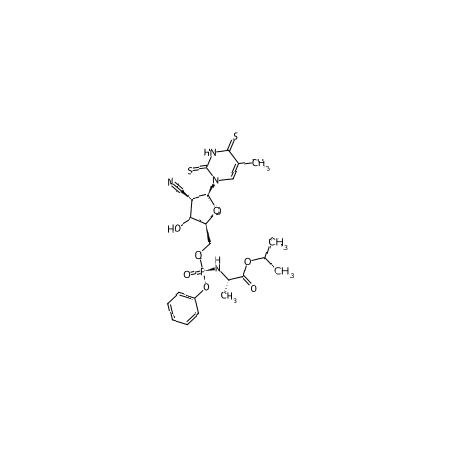 Cc1cn([C@H]2O[C@@H](CO[P@](=O)(N[C@@H](C)C(=O)OC(C)C)Oc3ccccc3)C(O)[C@H]2C#N)c(=S)[nH]c1=S